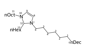 CCCCCCCCCCCCCCCCN1C=CN(CCCCCCCC)C1CCCCCC